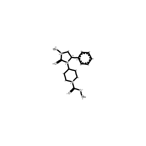 CC(C)(C)OC(=O)N1CCC(N2C(=O)N(C(C)(C)C)CC2c2ccccc2)CC1